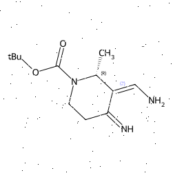 C[C@@H]1/C(=C/N)C(=N)CCN1C(=O)OC(C)(C)C